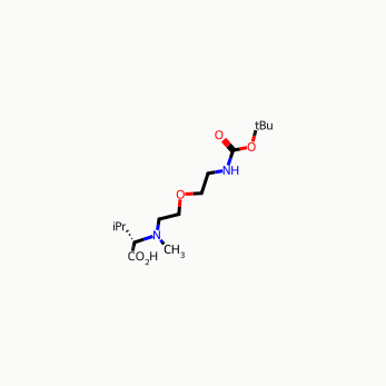 CC(C)[C@@H](C(=O)O)N(C)CCOCCNC(=O)OC(C)(C)C